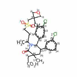 CC(CCS(=O)(=O)CC1(C)COC1)N1C(=O)C(C)(CC(=O)O)CC(c2cccc(Cl)c2)C1c1ccc(Cl)cc1